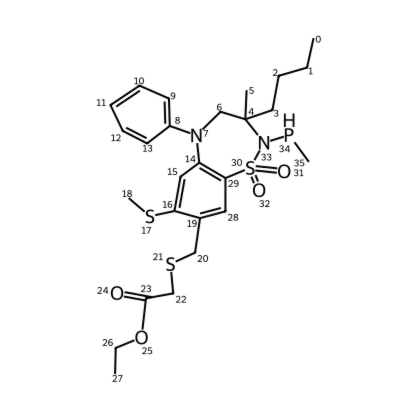 CCCCC1(C)CN(c2ccccc2)c2cc(SC)c(CSCC(=O)OCC)cc2S(=O)(=O)N1PC